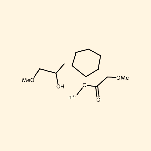 C1CCCCC1.CCCOC(=O)COC.COCC(C)O